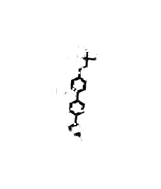 CCc1nc(-c2ccc(-c3ccc(CCC(N)(CO)CO)cc3)cc2)co1.Cl